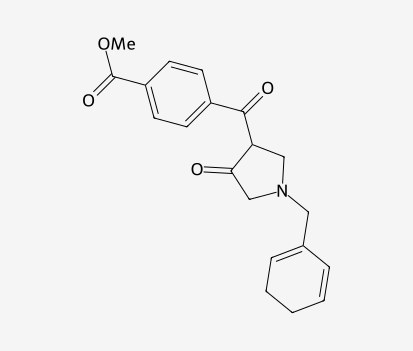 COC(=O)c1ccc(C(=O)C2CN(CC3=CCCC=C3)CC2=O)cc1